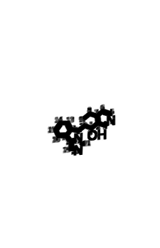 O[C@@H]1c2cnccc2CC[C@H]1[C@@H]1c2ccccc2-c2cncn21